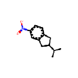 CC(C)C1Cc2ccc([N+](=O)[O-])cc2C1